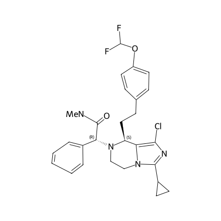 CNC(=O)[C@@H](c1ccccc1)N1CCn2c(C3CC3)nc(Cl)c2[C@@H]1CCc1ccc(OC(F)F)cc1